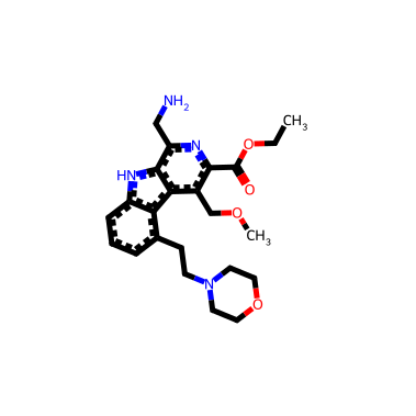 CCOC(=O)c1nc(CN)c2[nH]c3cccc(CCN4CCOCC4)c3c2c1COC